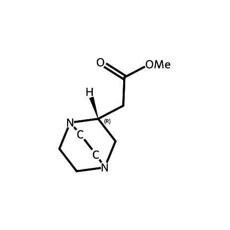 COC(=O)C[C@@H]1CN2CCN1CC2